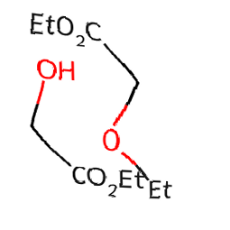 CCOC(=O)CO.CCOCC(=O)OCC